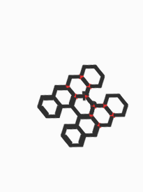 c1ccc2c(-c3c(P(C4CCCCC4)C4CCCCC4)ccc4ccccc34)c(P(C3CCCCC3)C3CCCCC3)ccc2c1